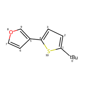 CC(C)(C)c1ccc(-c2ccoc2)s1